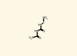 NC(=O)NC(=O)NS[N+](=O)[O-]